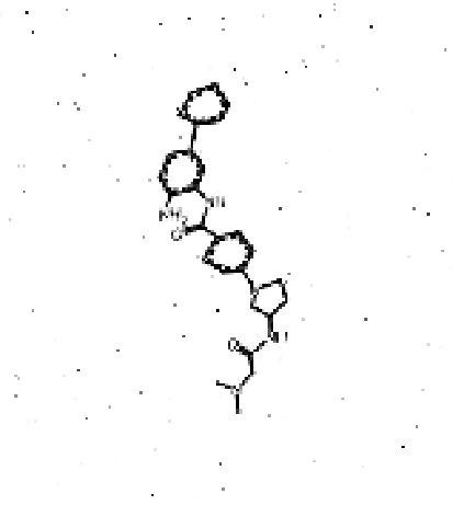 CN(C)CC(=O)NC1CCN(c2ccc(C(=O)Nc3cc(-c4ccccc4)ccc3N)cc2)C1